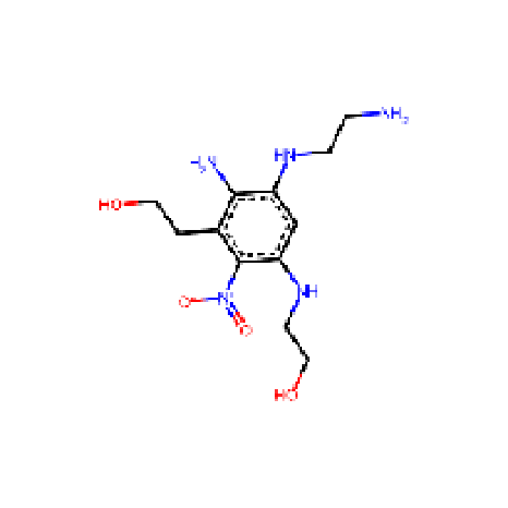 NCCNc1cc(NCCO)c([N+](=O)[O-])c(CCO)c1N